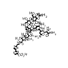 Cc1c(N)nc(C(CC(N)=O)NCC(N)C(N)=O)nc1C(=O)NC(C(=O)NC(C)C(O)C(C)C(=O)NC(C(=O)NCCc1nc(-c2nc(C(=O)O)cs2)cs1)C(C)O)C(OC1OC(CO)C(O)C(O)C1OC1OC(CO)C(O)C(OC(N)=O)C1O)c1cnc[nH]1